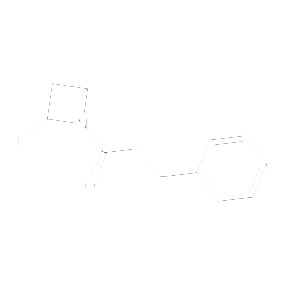 O=C(OCc1ccccc1)N1CCC1I